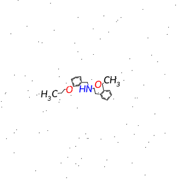 CCCOc1cccc(CNC(=O)Cc2ccccc2CC)c1